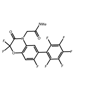 CNC(=O)CN1C(=O)C(F)(F)Oc2cc(F)c(-c3c(F)c(F)c(F)c(F)c3F)cc21